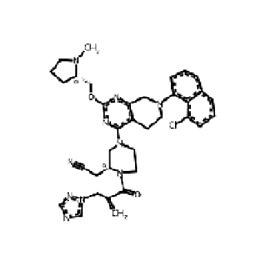 C=C(Cn1cncn1)C(=O)N1CCN(c2nc(OC[C@@H]3CCCN3C)nc3c2CCN(c2cccc4cccc(Cl)c24)C3)C[C@@H]1CC#N